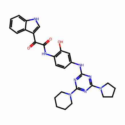 O=C(Nc1ccc(Nc2nc(N3CCCCC3)nc(N3CCCC3)n2)cc1O)C(=O)c1c[nH]c2ccccc12